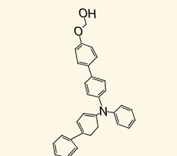 OCOc1ccc(-c2ccc(N(C3=CC=C(c4ccccc4)CC3)c3ccccc3)cc2)cc1